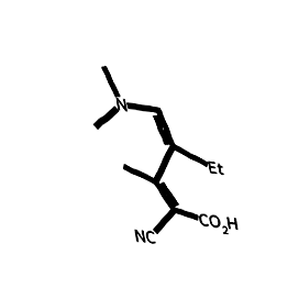 CCC(=CN(C)C)C(C)=C(C#N)C(=O)O